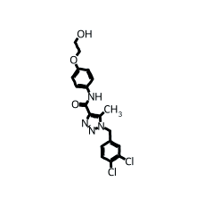 Cc1c(C(=O)Nc2ccc(OCCO)cc2)nnn1Cc1ccc(Cl)c(Cl)c1